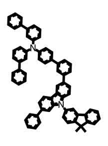 CC1(C)c2ccccc2-c2cc(-n3c4ccc(-c5cccc(-c6ccc(N(c7cccc(-c8ccccc8)c7)c7cccc(-c8ccccc8)c7)cc6)c5)cc4c4ccc(-c5ccccc5)cc43)ccc21